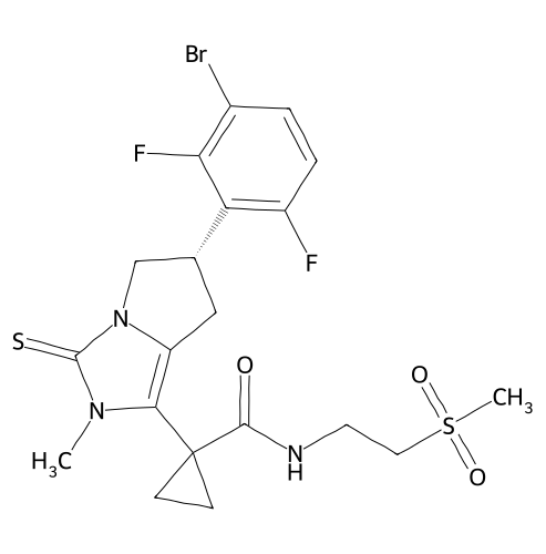 Cn1c(C2(C(=O)NCCS(C)(=O)=O)CC2)c2n(c1=S)C[C@H](c1c(F)ccc(Br)c1F)C2